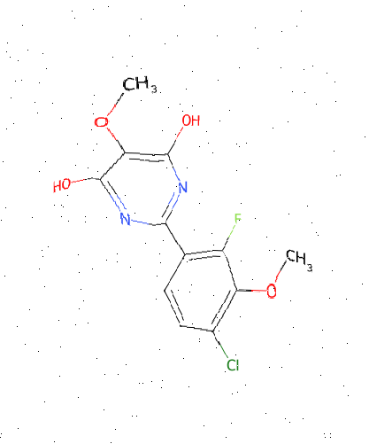 COc1c(O)nc(-c2ccc(Cl)c(OC)c2F)nc1O